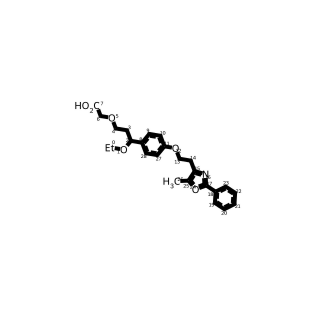 CCOC(CCOCC(=O)O)c1ccc(OCCc2nc(-c3ccccc3)oc2C)cc1